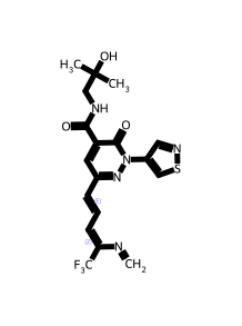 C=N/C(=C\C=C\c1cc(C(=O)NCC(C)(C)O)c(=O)n(-c2cnsc2)n1)C(F)(F)F